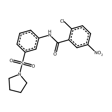 O=C(Nc1cccc(S(=O)(=O)N2CCCC2)c1)c1cc([N+](=O)[O-])ccc1Cl